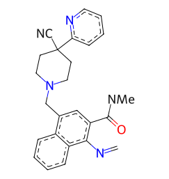 C=Nc1c(C(=O)NC)cc(CN2CCC(C#N)(c3ccccn3)CC2)c2ccccc12